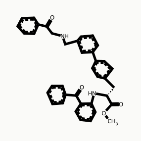 COC(=O)[C@@H](Cc1ccc(-c2cccc(CNCC(=O)c3ccccc3)c2)cc1)Nc1ccccc1C(=O)c1ccccc1